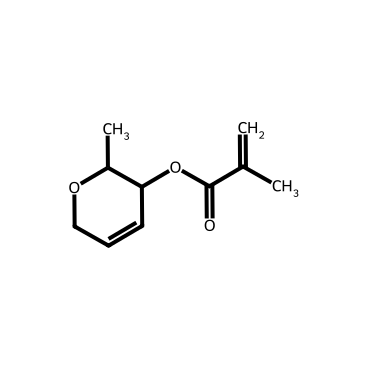 C=C(C)C(=O)OC1C=CCOC1C